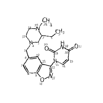 CCC1CN(Cc2ccc3onc(-n4ccc(=O)[nH]c4=O)c3c2)CCN1C